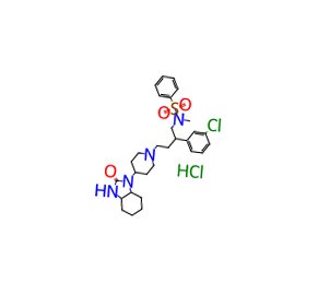 CN(CC(CCN1CCC(N2C(=O)NC3CCCCC32)CC1)c1cccc(Cl)c1)S(=O)(=O)c1ccccc1.Cl